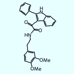 COc1ccc(CCNC(=O)C(=O)c2c(-c3ccccc3)[nH]c3ccccc23)cc1OC